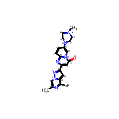 CCCc1nc(C)cn2nc(-c3cc(=O)n4cc(N5CCN(C)CC5)ccc4n3)cc12